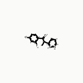 CC(C(=O)c1ccc(F)cc1F)c1cccnn1